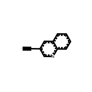 [C]#Cc1cnc2ccccc2c1